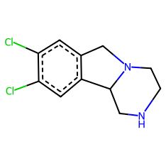 Clc1cc2c(cc1Cl)C1CNCCN1C2